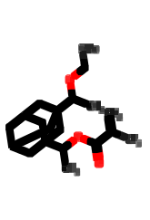 C=C(C(=O)OC(C)C12CC3CC(CC(C(C)OCSC)(C3)C1)C2)C(F)(F)F